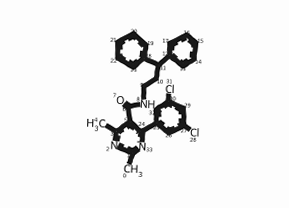 Cc1nc(C)c(C(=O)NCCC(c2ccccc2)c2ccccc2)c(-c2cc(Cl)cc(Cl)c2)n1